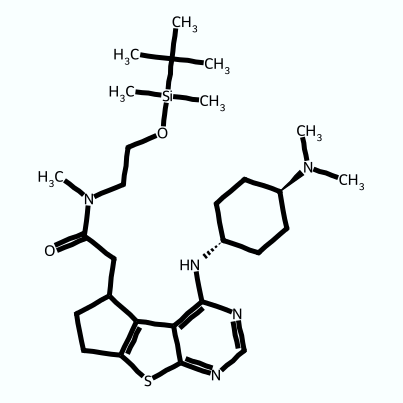 CN(CCO[Si](C)(C)C(C)(C)C)C(=O)CC1CCc2sc3ncnc(N[C@H]4CC[C@H](N(C)C)CC4)c3c21